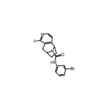 O=C(Nc1cccc(Br)c1)N1C2CCC1c1ccnc(F)c1C2